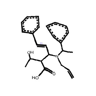 C=CCN(C(C)c1ccccc1)C(/C=C/c1ccccc1)C(C(=O)O)C(C)O